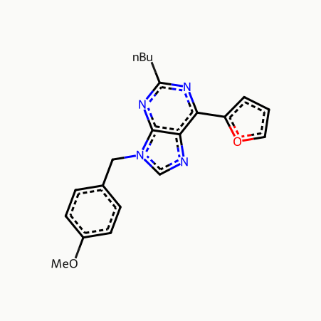 CCCCc1nc(-c2ccco2)c2ncn(Cc3ccc(OC)cc3)c2n1